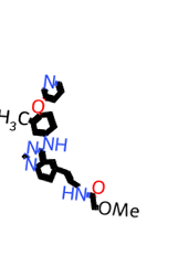 COCC(=O)NCC=Cc1ccc2ncnc(Nc3ccc(Oc4cccnc4)c(C)c3)c2c1